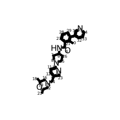 Cc1c(C(=O)NC2CCN(c3ccc(CN4CC(C)OC(C)C4)cn3)CC2)cccc1-c1cccnc1